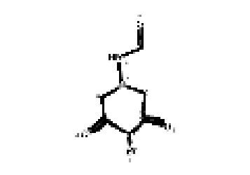 O=CBN1CC(=O)C(Br)C(=O)C1